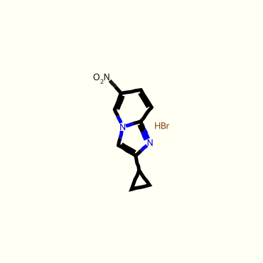 Br.O=[N+]([O-])c1ccc2nc(C3CC3)cn2c1